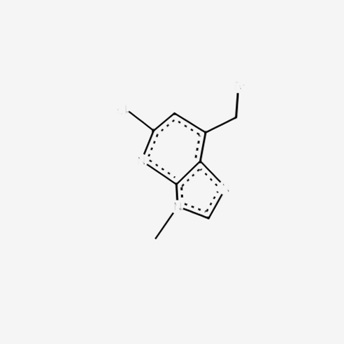 Cn1cnc2c(CBr)cc(Cl)nc21